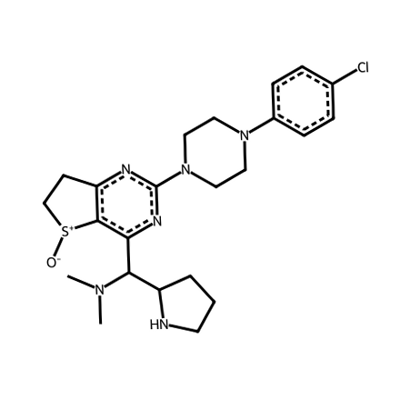 CN(C)C(c1nc(N2CCN(c3ccc(Cl)cc3)CC2)nc2c1[S+]([O-])CC2)C1CCCN1